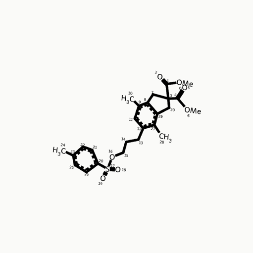 COC(=O)C1(C(=O)OC)Cc2c(C)cc(CCCOS(=O)(=O)c3ccc(C)cc3)c(C)c2C1